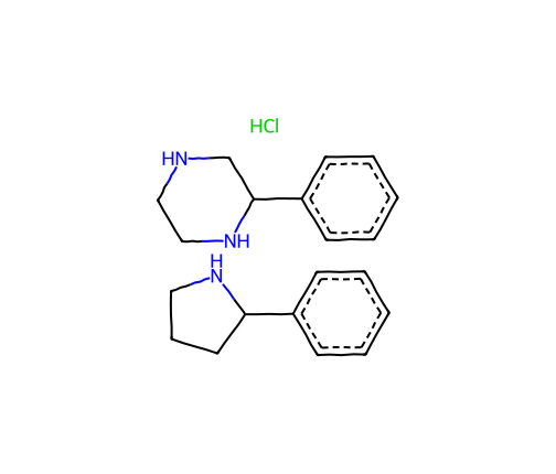 Cl.c1ccc(C2CCCN2)cc1.c1ccc(C2CNCCN2)cc1